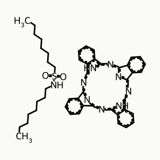 CCCCCCCCNS(=O)(=O)CCCCCCCC.c1ccc2c(c1)-c1nc-2nc2[nH]c(nc3nc(nc4[nH]c(n1)c1ccccc41)-c1ccccc1-3)c1ccccc21